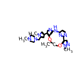 C[C@H]1CCOc2c(cnn2C)-c2nccc(n2)Nc2cc(c(-c3cc(CN4CCN(C)CC4)n(C)c3)cn2)O1